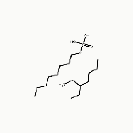 CCCCC(CC)CN.CCCCCCCCOP(=O)(O)O